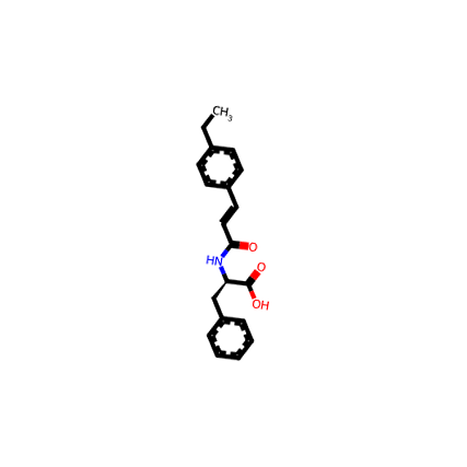 CCc1ccc(/C=C/C(=O)N[C@H](Cc2ccccc2)C(=O)O)cc1